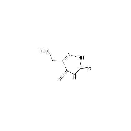 O=C(O)Cc1n[nH]c(=O)[nH]c1=O